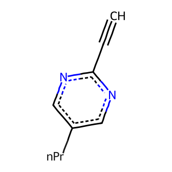 C#Cc1ncc(CC[CH2])cn1